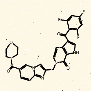 O=C(c1c(F)cc(F)cc1F)c1c[nH]c2c(=O)n(Cc3cn4cc(C(=O)N5CCOCC5)ccc4n3)ccc12